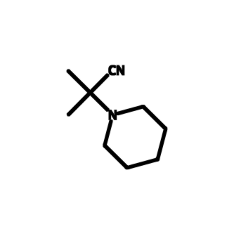 CC(C)(C#N)N1CCCCC1